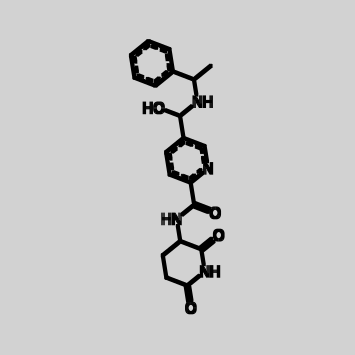 CC(NC(O)c1ccc(C(=O)NC2CCC(=O)NC2=O)nc1)c1ccccc1